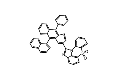 O=S1(=O)c2ccccc2-n2c(-c3ccc4c(-c5ccccc5)c5ccccc5c(-c5cccc6ccccc56)c4c3)nc3cccc1c32